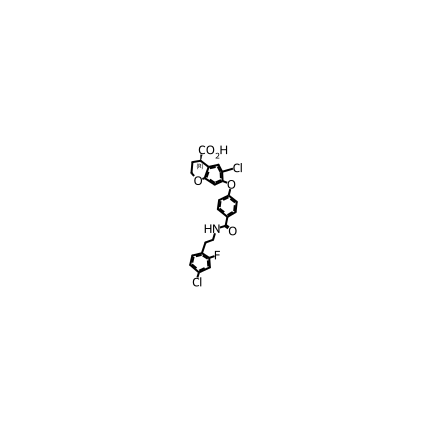 O=C(NCCc1ccc(Cl)cc1F)c1ccc(Oc2cc3c(cc2Cl)[C@H](C(=O)O)CCO3)cc1